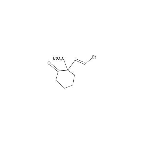 CCC=CC1(C(=O)OCC)CCCCC1=O